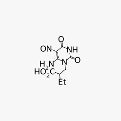 CCC(Cn1c(N)c(N=O)c(=O)[nH]c1=O)C(=O)O